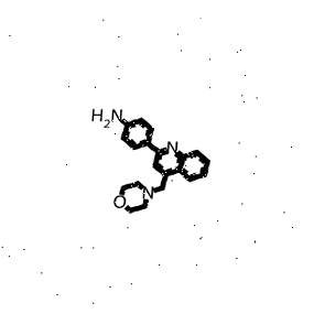 Nc1ccc(-c2cc(CN3CCOCC3)c3ccccc3n2)cc1